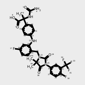 CC(NC(N)=O)(C(=O)O)c1ccc(Nc2cc(F)ccc2CN2C(=O)N(c3ccc(F)c(C(F)(F)F)c3)C(=O)C2(C)C)cc1